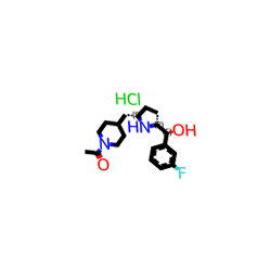 CC(=O)N1CCC(C[C@@H]2CC[C@H]([C@@H](O)c3cccc(F)c3)N2)CC1.Cl